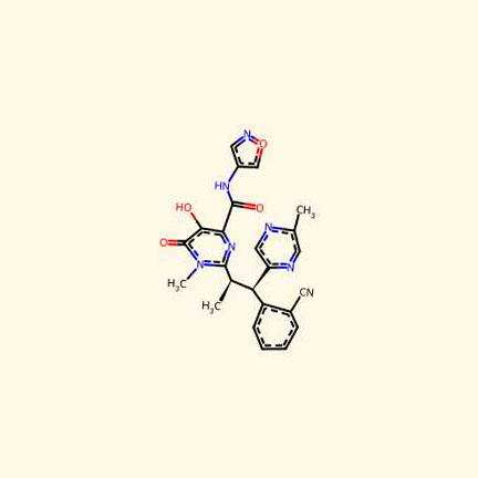 Cc1cnc([C@@H](c2ccccc2C#N)[C@@H](C)c2nc(C(=O)Nc3cnoc3)c(O)c(=O)n2C)cn1